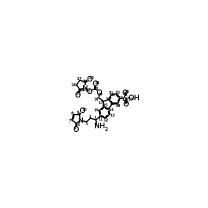 NC(CCN1C(=O)C=CC1=O)c1ccc2c(c1)C(COC(=O)ON1C(=O)CCC1=O)c1ccc(S(=O)(=O)O)cc1-2